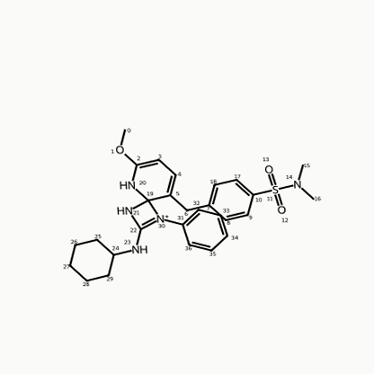 COC1=CC=C(Cc2ccc(S(=O)(=O)N(C)C)cc2)C2(N1)NC(NC1CCCCC1)=[N+]2c1ccccc1